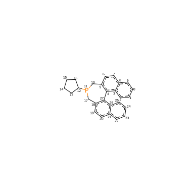 c1ccc2c3c(ccc2c1)CP(C1CCCC1)Cc1ccc2ccccc2c1-3